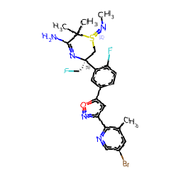 C/N=S1/C[C@@](CF)(c2cc(-c3cc(-c4ncc(Br)cc4C)no3)ccc2F)N=C(N)C1(C)C